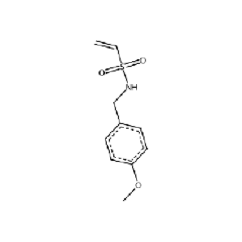 C=CS(=O)(=O)NCc1ccc(OC)cc1